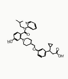 CC(C)CN(C(=O)c1ccc(O)cc1N1CCC(COc2cccc(C(CC(=O)O)C3CC3)c2)CC1)c1ccccn1